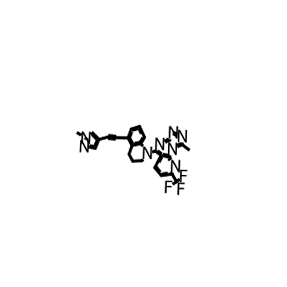 Cc1nnc2nc(N3CCCc4c(C#Cc5cnn(C)c5)cccc43)c3ccc(C(F)(F)F)nc3n12